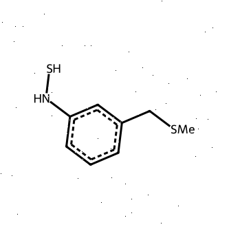 CSCc1cccc(NS)c1